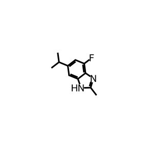 Cc1nc2c(F)cc(C(C)C)cc2[nH]1